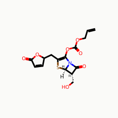 C=CCOC(=O)OC1=C(CC2C=CC(=O)O2)S[C@@H]2[C@@H](CO)C(=O)N12